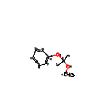 CC(C)(O[C]=O)Oc1ccccc1